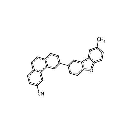 Cc1ccc2oc3ccc(-c4ccc5ccc6ccc(C#N)cc6c5c4)cc3c2c1